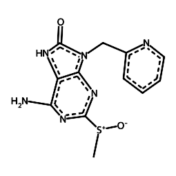 C[S+]([O-])c1nc(N)c2[nH]c(=O)n(Cc3ccccn3)c2n1